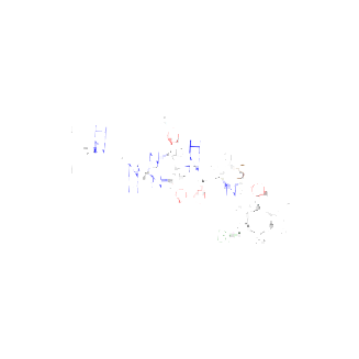 COc1nc(NCCNC(C)C)nc(OC)c1NC(=O)c1csc(Oc2cc(Br)ccc2C)n1